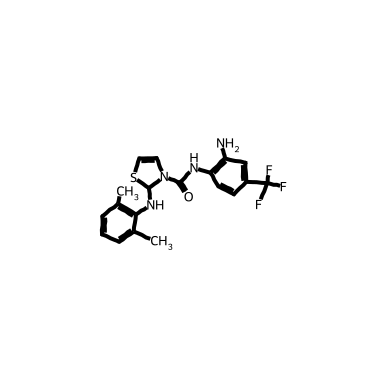 Cc1cccc(C)c1NC1SC=CN1C(=O)Nc1ccc(C(F)(F)F)cc1N